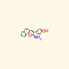 NC(=O)C(=Cc1ccc2ccccc2c1)c1ccc(O)cc1